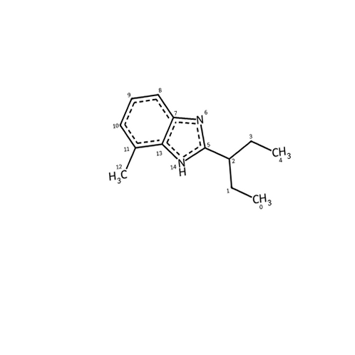 CCC(CC)c1nc2cccc(C)c2[nH]1